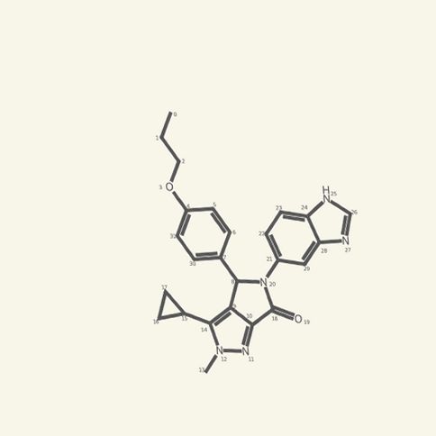 CCCOc1ccc(C2c3c(nn(C)c3C3CC3)C(=O)N2c2ccc3[nH]cnc3c2)cc1